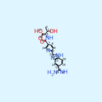 CC(O)C(NC(=O)c1ccc(-c2nc3cc(C(=N)N)ccc3[nH]2)nc1)C(=O)O